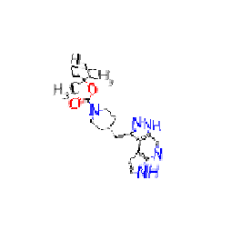 CC(C)(C)OC(=O)N1CCC(Cc2n[nH]c3cnc4[nH]ccc4c23)CC1